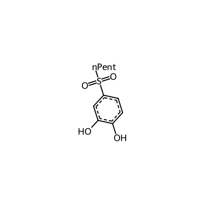 CCCCCS(=O)(=O)c1ccc(O)c(O)c1